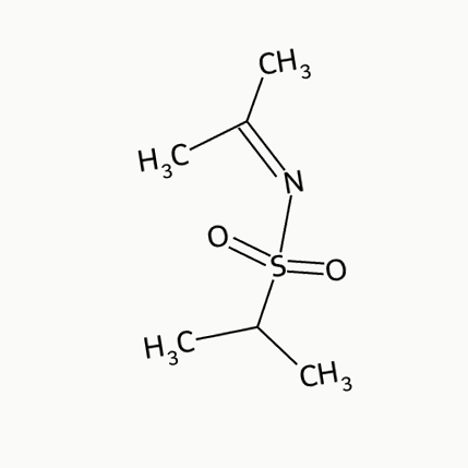 CC(C)=NS(=O)(=O)C(C)C